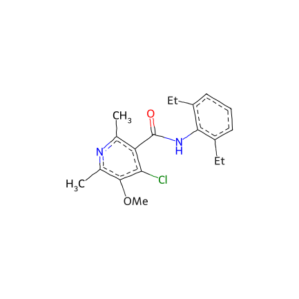 CCc1cccc(CC)c1NC(=O)c1c(C)nc(C)c(OC)c1Cl